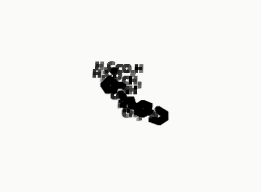 CC(NC(=O)c1cc(-c2ccc(N3CCCCC3)cc2)n(C)n1)c1ccccc1OC(C)(C)C(=O)O